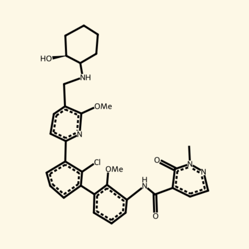 COc1nc(-c2cccc(-c3cccc(NC(=O)c4ccnn(C)c4=O)c3OC)c2Cl)ccc1CNC1CCCC[C@@H]1O